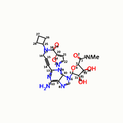 CNC(=O)C1OC(n2cnc3c(N)nc(C#CCN(C(=O)c4ccno4)C4CCC4)nc32)[C@H](O)[C@@H]1O